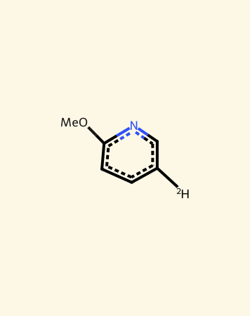 [2H]c1ccc(OC)nc1